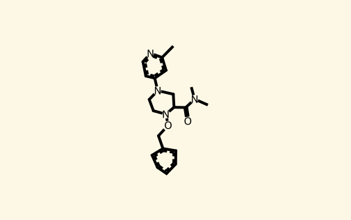 Cc1cc(N2CCN(OCc3ccccc3)C(C(=O)N(C)C)C2)ccn1